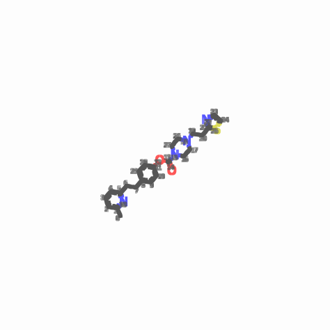 Cc1cccc(CCc2ccc(OC(=O)N3CCN(CCc4nccs4)CC3)cc2)n1